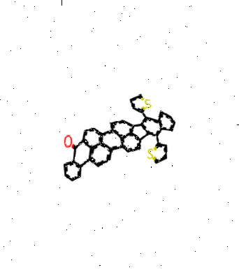 O=C1c2ccccc2-c2ccc3c4ccc5c6c(ccc(c7ccc1c2c73)c64)-c1c-5c(-c2cccs2)c2ccccc2c1-c1cccs1